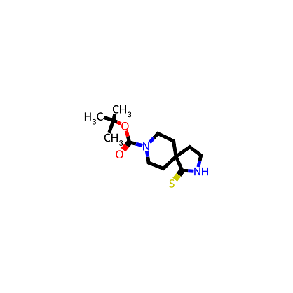 CC(C)(C)OC(=O)N1CCC2(CCNC2=S)CC1